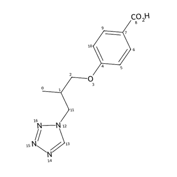 CC(COc1ccc(C(=O)O)cc1)Cn1cnnn1